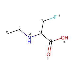 CCNC(CF)C(=O)O